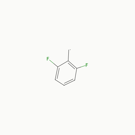 [CH2]c1c(F)cccc1F